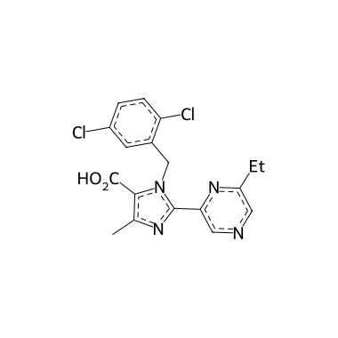 CCc1cncc(-c2nc(C)c(C(=O)O)n2Cc2cc(Cl)ccc2Cl)n1